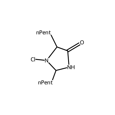 CCCCCC1NC(=O)C(CCCCC)N1Cl